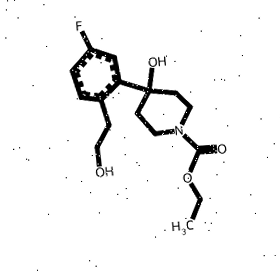 CCOC(=O)N1CCC(O)(c2cc(F)ccc2CCO)CC1